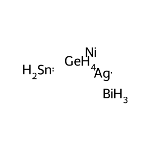 [Ag].[BiH3].[GeH4].[Ni].[SnH2]